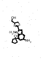 CC1(c2cc(N)cc3cc(C4=NC(CO)CS4)n(N)c23)CCCC1